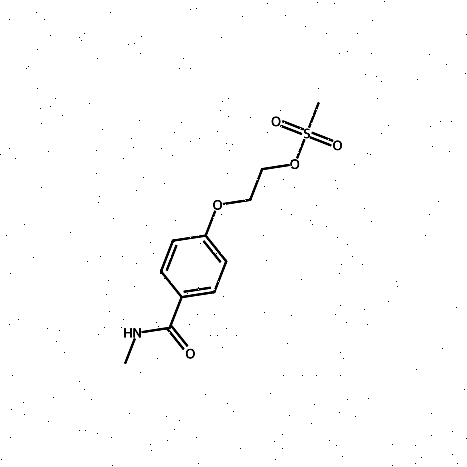 CNC(=O)c1ccc(OCCOS(C)(=O)=O)cc1